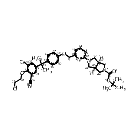 CC(C)(C)OC(=O)N1C[C@@H]2CN(c3nccc(COc4ccc(C(C)(C)c5cc(Cl)c(OCCCl)c(C#N)c5)cc4)n3)C[C@@H]2C1